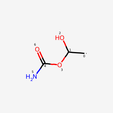 [CH2]C(O)OC(N)=O